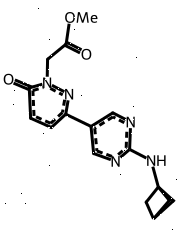 COC(=O)Cn1nc(-c2cnc(NC34CC(C3)C4)nc2)ccc1=O